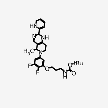 CC1C2=C(CCN1c1cc(F)c(F)c(OCCCNC(=O)OC(C)(C)C)c1)NC(C1=CC=CCN1)N=C2